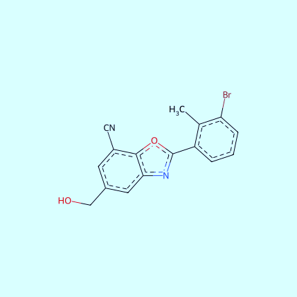 Cc1c(Br)cccc1-c1nc2cc(CO)cc(C#N)c2o1